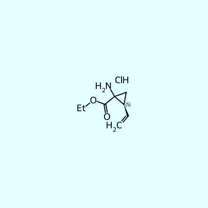 C=C[C@@H]1CC1(N)C(=O)OCC.Cl